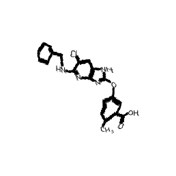 Cc1ccc(Oc2nc3nc(NCc4ccccc4)c(Cl)cc3[nH]2)cc1C(=O)O